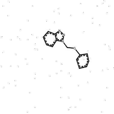 [c]1cccc(OCn2nnc3ccccc32)c1